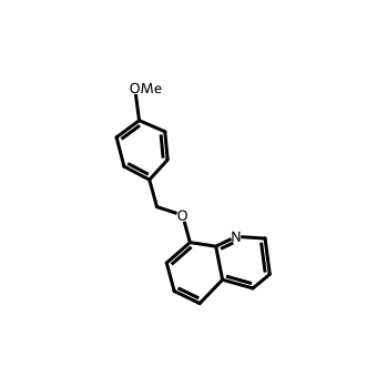 COc1ccc(COc2cccc3cccnc23)cc1